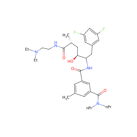 CCCN(CCC)C(=O)c1cc(C)cc(C(=O)NC(Cc2cc(F)cc(F)c2)[C@@H](O)C[C@@H](C)C(=O)NCCN(CC)CC)c1